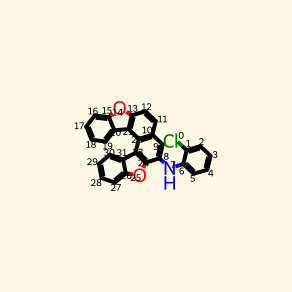 Clc1ccccc1Nc1cc2ccc3oc4ccccc4c3c2c2c1oc1ccccc12